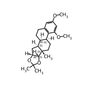 COc1cc2c(c(OC)c1)[C@H]1CC[C@]3(C)[C@@H]4OC(C)(C)O[C@@H]4C[C@H]3[C@H]1CC2